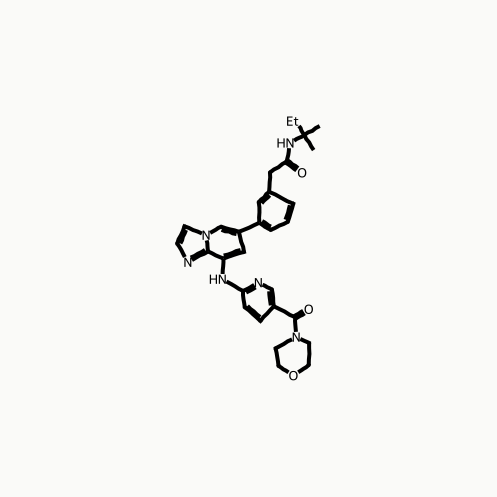 CCC(C)(C)NC(=O)Cc1cccc(-c2cc(Nc3ccc(C(=O)N4CCOCC4)cn3)c3nccn3c2)c1